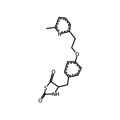 Cc1cccc(CCOc2ccc(CC3NC(=O)SC3=O)cc2)n1